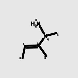 C/C=C(\C)N(C)N